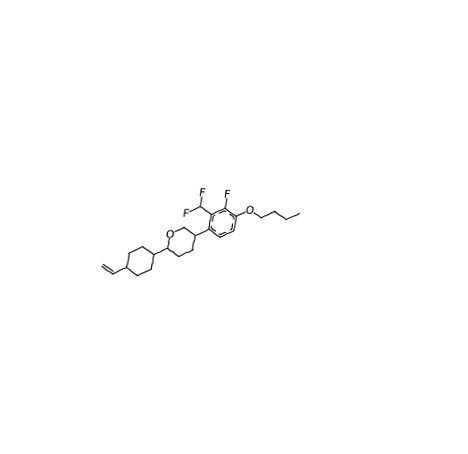 C=CC1CCC(C2CCC(c3ccc(OCCCC)c(F)c3C(F)F)CO2)CC1